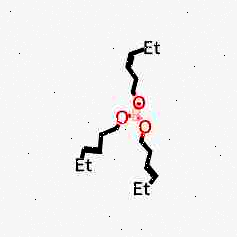 CCC=CCCOB(OCCC=CCC)OCC/C=C\CC